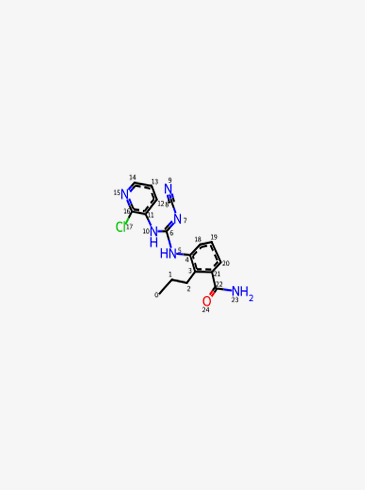 CCCc1c(NC(=NC#N)Nc2cccnc2Cl)cccc1C(N)=O